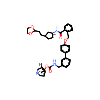 O=C(NCc1cccc(-c2ccc(OCc3ccccc3C(=O)N[C@H]3CCC(CCC4OCCO4)C3)cc2)c1)O[C@H]1CN2CCC1CC2